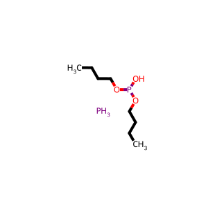 CCCCOP(O)OCCCC.P